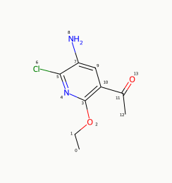 CCOc1nc(Cl)c(N)cc1C(C)=O